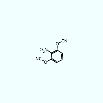 N#COc1cccc(OC#N)c1[N+](=O)[O-]